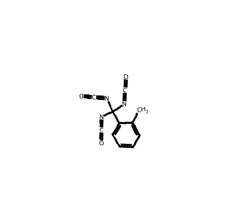 Cc1ccccc1C(N=C=O)(N=C=O)N=C=O